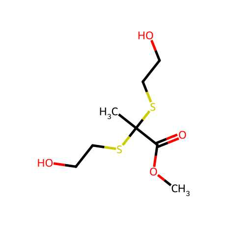 COC(=O)C(C)(SCCO)SCCO